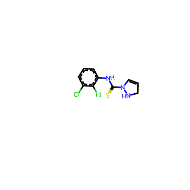 S=C(Nc1cccc(Cl)c1Cl)N1C=CCN1